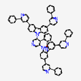 N#Cc1ccccc1-c1c(-n2c3ccc(-c4ccnc(-c5ccccc5)c4)cc3c3cc(-c4ccnc(-c5ccccc5)c4)ccc32)cncc1-n1c2ccc(-c3ccnc(-c4ccccc4)c3)cc2c2cc(-c3ccnc(-c4ccccc4)c3)ccc21